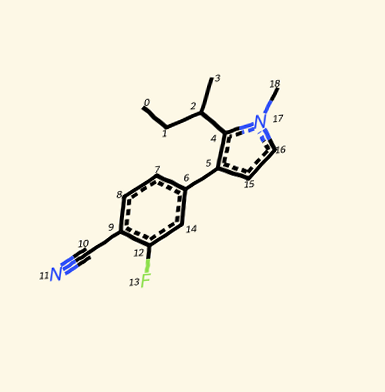 CCC(C)c1c(-c2ccc(C#N)c(F)c2)ccn1C